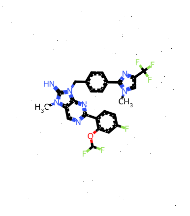 Cn1cc(C(F)(F)F)nc1-c1ccc(Cn2c(=N)n(C)c3cnc(-c4ccc(F)cc4OC(F)F)nc32)cc1